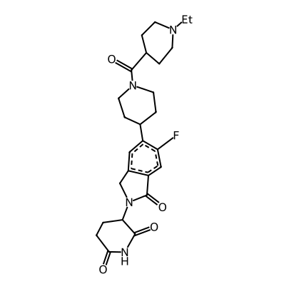 CCN1CCC(C(=O)N2CCC(c3cc4c(cc3F)C(=O)N(C3CCC(=O)NC3=O)C4)CC2)CC1